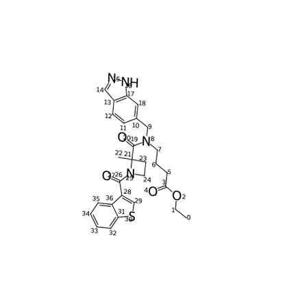 CCOC(=O)CCCN(Cc1ccc2cn[nH]c2c1)C(=O)C1(C)CCN1C(=O)c1csc2ccccc12